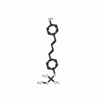 COC(C)(C)Oc1ccc(C=CC=Cc2ccc(O)cc2)cc1